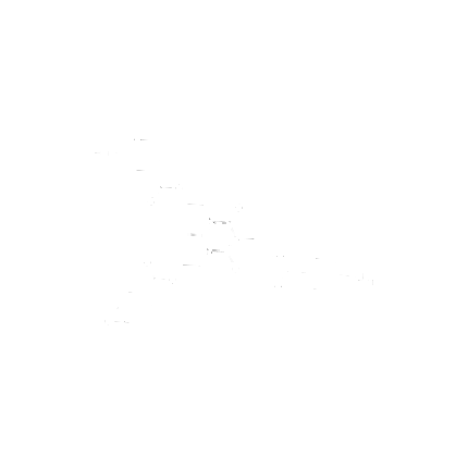 CC1CCC(C(=O)OCCn2c(=O)n(CCOC(=O)C3CCOC(C)C3)c(=O)n(CCOC(=O)C3CCC4OC4C3)c2=O)CO1